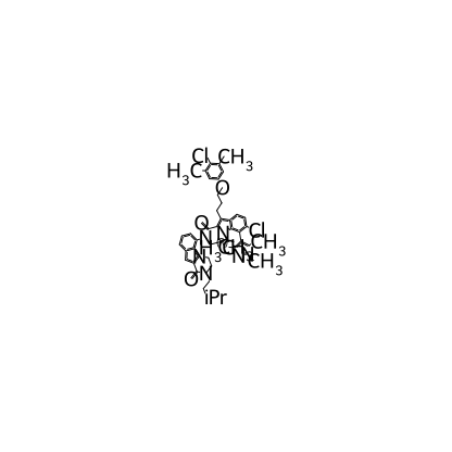 Cc1cc(OCCCc2c3n(c4c(-c5c(C)nn(C)c5C)c(Cl)ccc24)[C@H](C)CN(c2cccc4cc5n(c24)CCN(CCC(C)C)C5=O)C3=O)cc(C)c1Cl